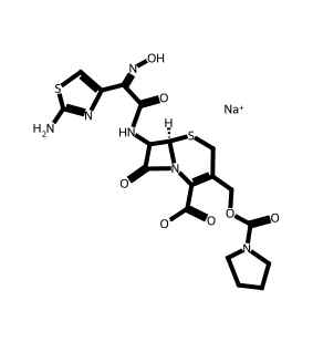 Nc1nc(/C(=N/O)C(=O)NC2C(=O)N3C(C(=O)[O-])=C(COC(=O)N4CCCC4)CS[C@H]23)cs1.[Na+]